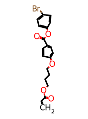 C=CC(=O)OCCCCOc1ccc(C(=O)Oc2ccc(Br)cc2)cc1